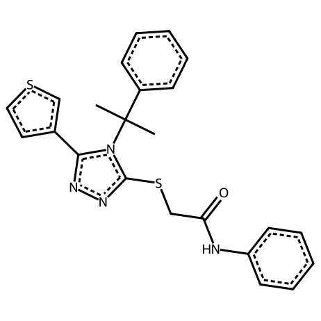 CC(C)(c1ccccc1)n1c(SCC(=O)Nc2ccccc2)nnc1-c1ccsc1